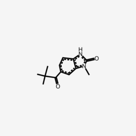 Cn1c(=O)[nH]c2ccc(C(=O)C(C)(C)C)cc21